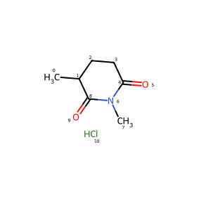 CC1CCC(=O)N(C)C1=O.Cl